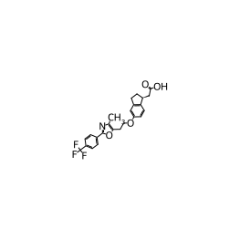 Cc1nc(-c2ccc(C(F)(F)F)cc2)oc1CCOc1ccc2c(c1)CC[C@H]2CC(=O)O